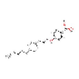 CCCCCC1CCC(CCCOc2ccc(C(=O)O)cc2)CC1